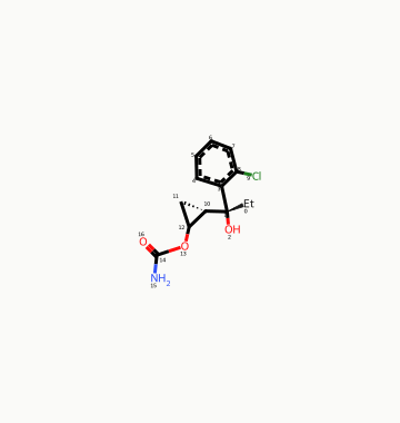 CC[C@](O)(c1ccccc1Cl)[C@H]1CC1OC(N)=O